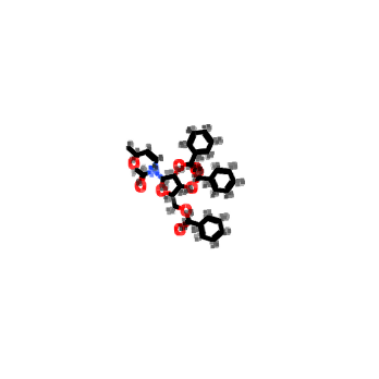 CC(=O)/C=C\N(C(C)=O)[C@@H]1O[C@H](COC(=O)c2ccccc2)C(OC(=O)c2ccccc2)[C@@H]1OC(=O)c1ccccc1